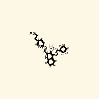 CC(=O)CCc1ccc(OCc2nc3ccccc3c(OCc3ccccc3)c2C)nc1